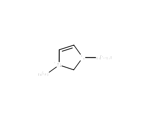 CCCCCN1C=CN(CCCC)C1